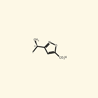 C[C@H](I)c1cc(C(=O)O)on1